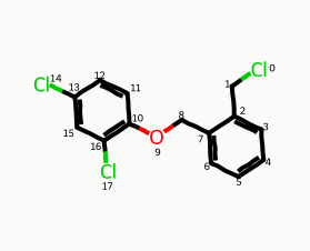 ClCc1ccccc1COc1ccc(Cl)cc1Cl